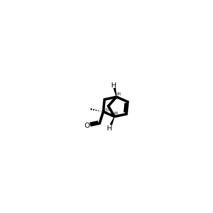 C[C@]1(C=O)C[C@@H]2C=C[C@H]1C2